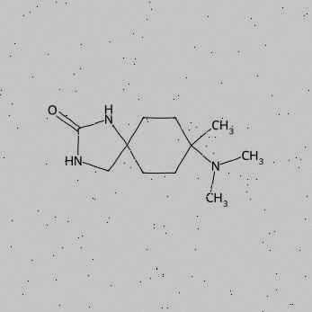 CN(C)C1(C)CCC2(CC1)CNC(=O)N2